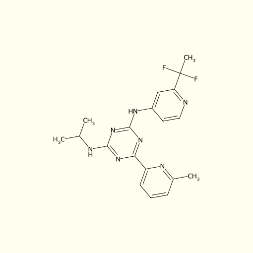 Cc1cccc(-c2nc(Nc3ccnc(C(C)(F)F)c3)nc(NC(C)C)n2)n1